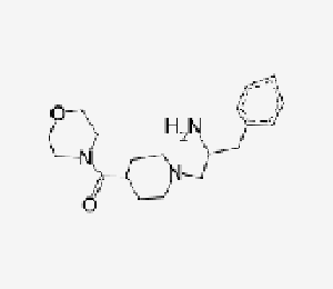 NC(Cc1ccccc1)CN1CCC(C(=O)N2CCOCC2)CC1